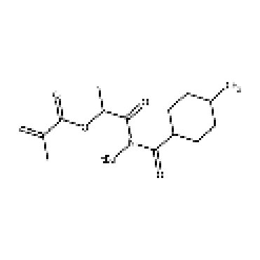 C=C(C)C(=O)OC(C)C(=O)N(C(=O)C1CCC(C(F)(F)F)CC1)C(C)(C)C